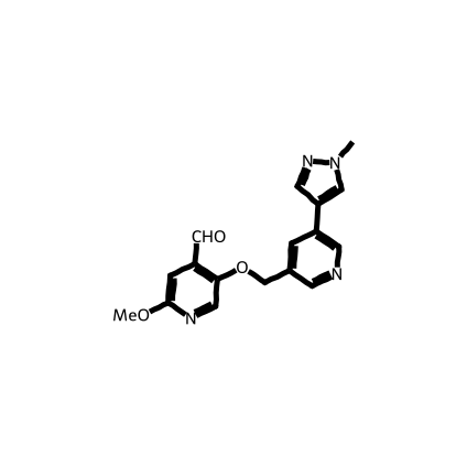 COc1cc(C=O)c(OCc2cncc(-c3cnn(C)c3)c2)cn1